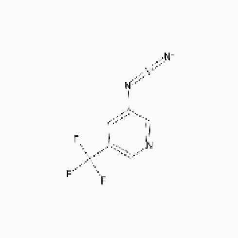 [N-]=[N+]=Nc1cncc(C(F)(F)F)c1